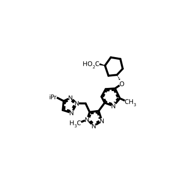 Cc1nc(-c2nnn(C)c2Cn2ncc(C(C)C)n2)ccc1O[C@H]1CCC[C@H](C(=O)O)C1